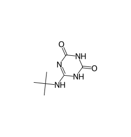 CC(C)(C)Nc1nc(=O)[nH]c(=O)[nH]1